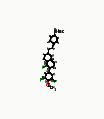 CCCCCCc1ccc(CCc2ccc3c(F)c(-c4cc(F)c(OC(F)(F)F)c(F)c4)ccc3c2)cc1